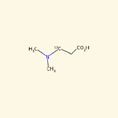 CN(C)[13CH2]CC(=O)O